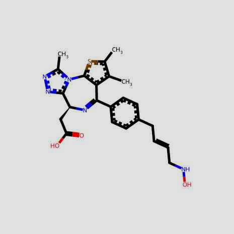 Cc1sc2c(c1C)C(c1ccc(CC=CCNO)cc1)=N[C@@H](CC(=O)O)c1nnc(C)n1-2